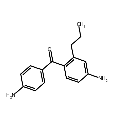 CCCc1cc(N)ccc1C(=O)c1ccc(N)cc1